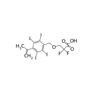 C=C(C)c1c(I)c(I)c(COCC(F)(F)S(=O)(=O)O)c(I)c1I